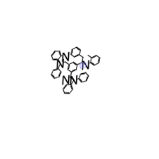 Cc1ccccc1/N=C(\Cc1ccccc1)c1cc(-c2nc3ccccc3n2-c2ccccc2)cc(-c2nc3ccccc3n2-c2ccccc2)c1